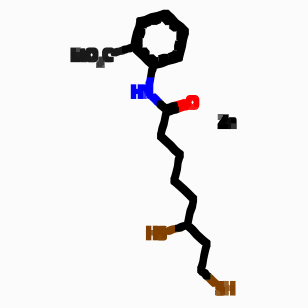 CCOC(=O)c1ccccc1NC(=O)CCCCC(S)CCS.[Zn]